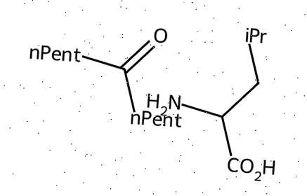 CC(C)CC(N)C(=O)O.CCCCCC(=O)CCCCC